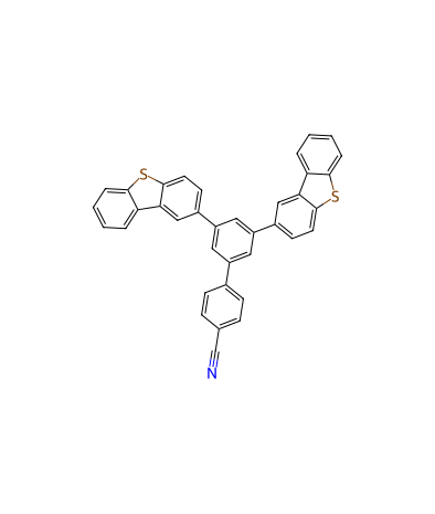 N#Cc1ccc(-c2cc(-c3ccc4sc5ccccc5c4c3)cc(-c3ccc4sc5ccccc5c4c3)c2)cc1